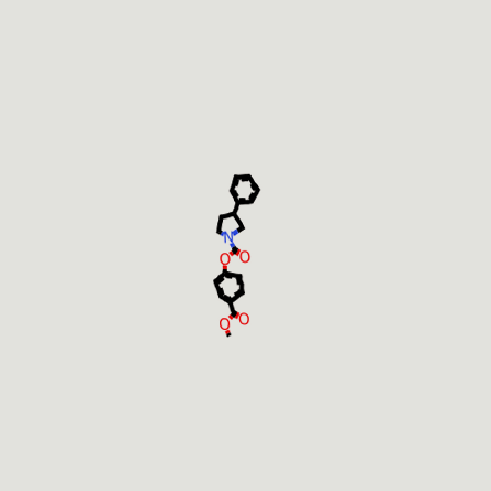 COC(=O)c1ccc(OC(=O)N2CCC(c3ccccc3)C2)cc1